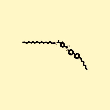 CCCCCCCCCCCCCCCCOC(C)c1ccc(C(=O)Oc2ccc(-c3ccc(CCCCCCC)cc3)cc2)cc1